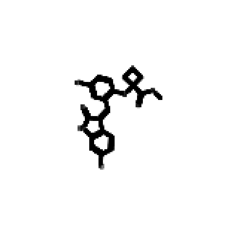 COC(=O)C1(Oc2ccc(Cl)cc2C=C2C(=O)Nc3cc(Cl)ccc32)CCC1